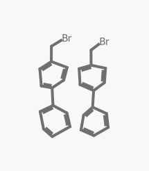 BrCc1ccc(-c2ccccc2)cc1.BrCc1ccc(-c2ccccc2)cc1